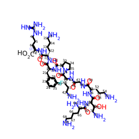 N=C(N)NCC/C=C(\NC(=O)[C@H](CCCCN)NC(=O)[C@H](Cc1cccc(F)c1)NC(=O)[C@@H]1CCCN1C(=O)[C@@H](CCCN)NC(=O)CNC(=O)[C@H](CCCN)NC(=O)[C@@H](NC(=O)[C@@H](N)CCCCN)[C@@H](O)CN)C(=O)O